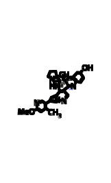 CCc1cc(O)ccc1/N=C(\N)c1cnn2cc(-c3cnc(OC)cc3C)cc2c1NC[C@@]1(C)CCCN1